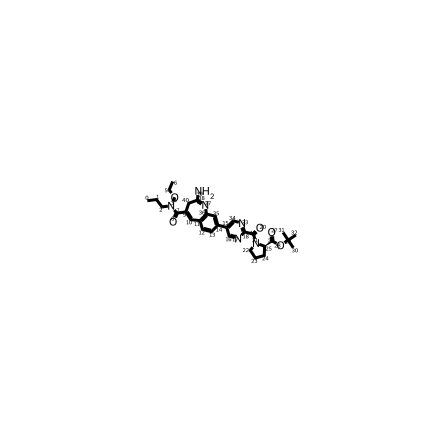 CCCN(OCC)C(=O)C1=Cc2ccc(-c3cnc(C(=O)N4CCC[C@@H]4C(=O)OC(C)(C)C)nc3)cc2N=C(N)C1